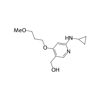 COCCCOc1cc(NC2CC2)ncc1CO